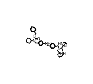 CC(c1ncc[nH]1)N(Cc1ccc(CNc2ccc(CN(C(=O)OCc3ccccc3)C3CCCCC3)cc2)cc1)Cc1ncc[nH]1